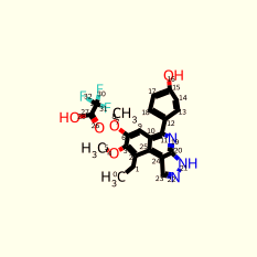 CCc1c(OC)c(OC)cc2c(-c3ccc(O)cc3)nc3[nH]ncc3c12.O=C(O)C(F)(F)F